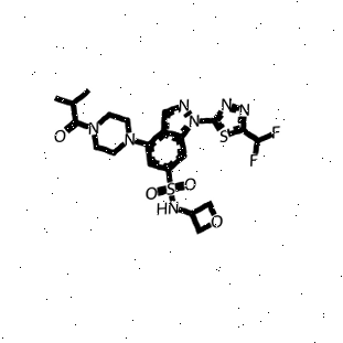 CC(C)C(=O)N1CCN(c2cc(S(=O)(=O)NC3COC3)cc3c2cnn3-c2nnc(C(F)F)s2)CC1